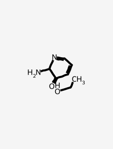 CCO.NC1N=CC=CC1=O